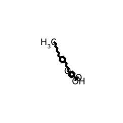 CCCCCCCC1CCC(CCCOc2ccc(C(=O)O)cc2)CC1